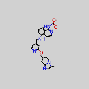 COC(=O)Nc1nccc2c(NCc3ccnc(OCC4CCn5c(C)cnc5C4)c3)cccc12